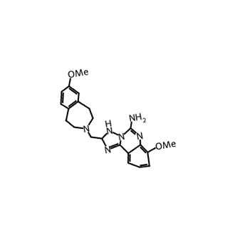 COc1ccc2c(c1)CCN(CC1N=C3c4cccc(OC)c4N=C(N)N3N1)CC2